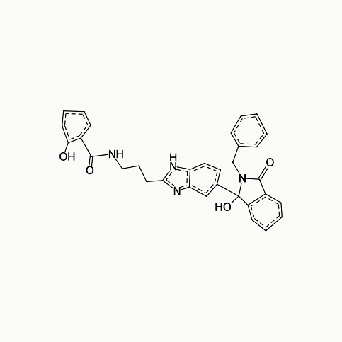 O=C(NCCCc1nc2cc(C3(O)c4ccccc4C(=O)N3Cc3ccccc3)ccc2[nH]1)c1ccccc1O